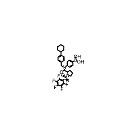 O=C(C1CCCN1S(=O)(=O)c1c(F)c(F)c(F)c(F)c1F)N(Cc1ccc(C2CCCCC2)cc1)c1ccc(B(O)O)cc1